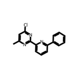 Cc1cc(Cl)nc(-c2cccc(-c3ccccc3)n2)n1